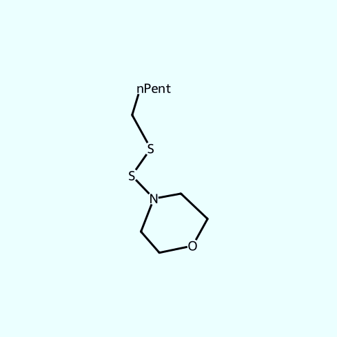 CCCCCCSSN1CCOCC1